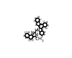 Cc1nc(Cn2c3ccccc3c3c4ccccc4c4c(c32)Cc2ccccc2-4)nc2c1ccc1ccccc12